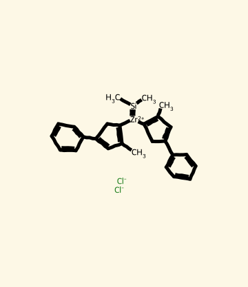 CC1=[C]([Zr+2]([C]2=C(C)C=C(c3ccccc3)C2)=[Si](C)C)CC(c2ccccc2)=C1.[Cl-].[Cl-]